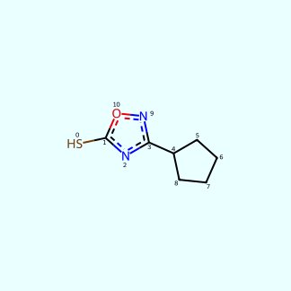 Sc1nc(C2CCCC2)no1